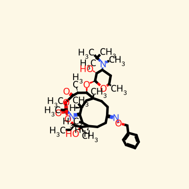 CC[C@H]1OC(=O)[C@H](C)C(=O)[C@H](C)[C@@H](O[C@@H]2O[C@H](C)C[C@H](N(C)C(C)(C)C)[C@H]2O)[C@]2(C)CC/C(=N/OCc3ccccc3)CC[C@H]([C@@H](C)/C(=N/C(C)=O)[C@H](C)C2)[C@]1(C)O